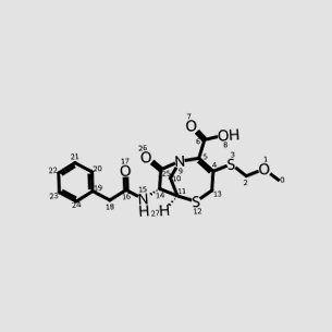 COCSC1=C(C(=O)O)N2C[C@@H](SC1)[C@H](NC(=O)Cc1ccccc1)C2=O